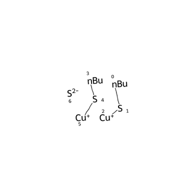 CCCC[S][Cu+].CCCC[S][Cu+].[S-2]